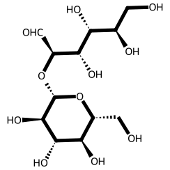 O=C[C@H](O[C@@H]1O[C@H](CO)[C@@H](O)[C@H](O)[C@H]1O)[C@@H](O)[C@H](O)[C@H](O)CO